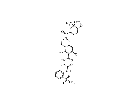 CC12CC(C(=O)N3CCc4c(cc(Cl)c(C(=O)N[C@@H](Cc5cccc(S(C)(=O)=O)c5)C(=O)O)c4Cl)C3)=CC=C1OCO2